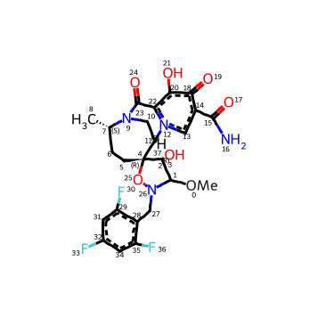 COC1[C@H](O)[C@]2(CC[C@H](C)N3C[C@H]2n2cc(C(N)=O)c(=O)c(O)c2C3=O)ON1Cc1c(F)cc(F)cc1F